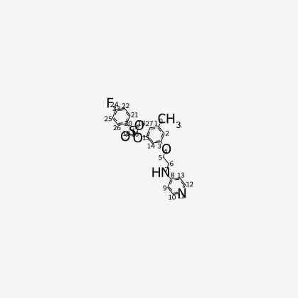 Cc1cc(OCCNc2ccncc2)cc(OS(=O)(=O)c2ccc(F)cc2)c1